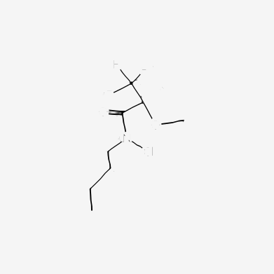 CCCCN(Cl)C(=O)[C@](C)(OC)C(F)(F)F